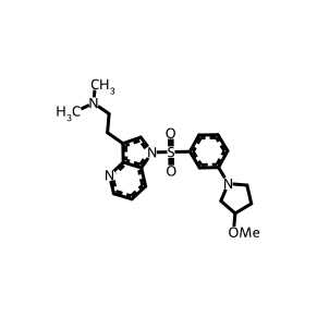 COC1CCN(c2cccc(S(=O)(=O)n3cc(CCN(C)C)c4ncccc43)c2)C1